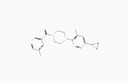 Cc1[c]ncc(C(=O)N2CCN(c3ncc(C4CC4)cc3C)CC2)c1